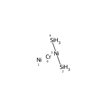 [Cr].[Ni].[SiH3][Ni][SiH3]